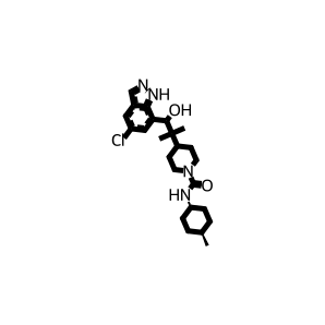 CC(C)(C1CCN(C(=O)N[C@H]2CC[C@H](C)CC2)CC1)C(O)c1cc(Cl)cc2cn[nH]c12